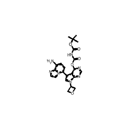 CC(C)(C)OC(=O)NC(=O)Oc1ncnc2c1c(-c1ccc(N)c3nccn13)cn2C1COC1